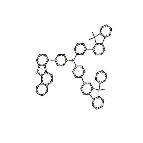 CC1(C)c2ccccc2-c2cccc(-c3cccc(N(c4ccc(-c5ccc6c(c5)C(C)(c5ccccc5)c5ccccc5-6)cc4)c4ccc(-c5cccc6oc7c8ccccc8ccc7c56)cc4)c3)c21